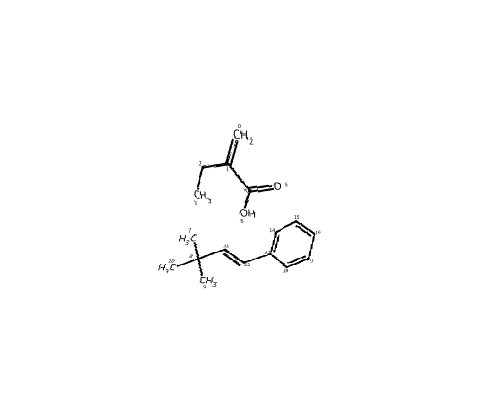 C=C(CC)C(=O)O.CC(C)(C)C=Cc1ccccc1